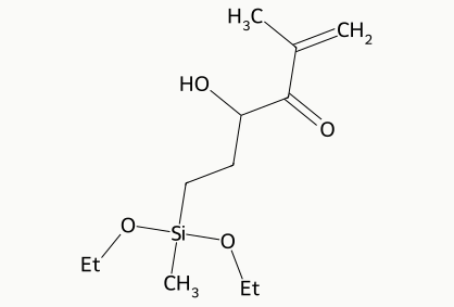 C=C(C)C(=O)C(O)CC[Si](C)(OCC)OCC